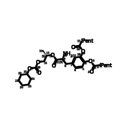 CCCC(C)C(=O)Oc1ccc(C[C@H](N)C(=O)O[C@@H](C)COC(=O)OC2CCCCC2)cc1OC(=O)C(C)CCC